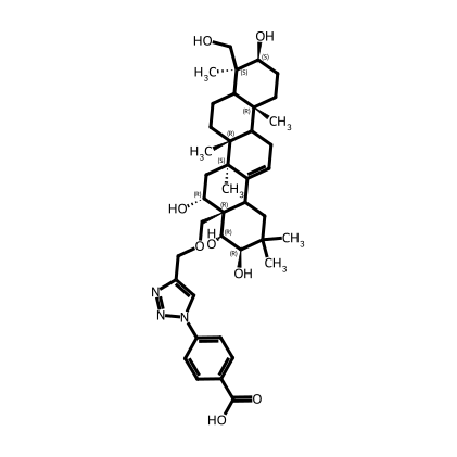 CC1(C)CC2C3=CCC4[C@@]5(C)CC[C@H](O)[C@](C)(CO)C5CC[C@@]4(C)[C@]3(C)C[C@@H](O)[C@@]2(COCc2cn(-c3ccc(C(=O)O)cc3)nn2)[C@@H](O)[C@@H]1O